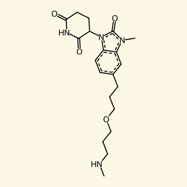 CNCCCOCCCc1ccc2c(c1)n(C)c(=O)n2C1CCC(=O)NC1=O